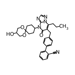 CCCc1c(Cc2ccc(-c3ccccc3C#N)cc2)c(=O)n(C2CCC3(CC2)OCC(O)CO3)c2ncnn12